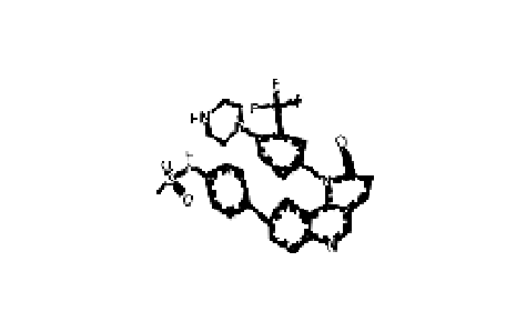 CS(=O)(=O)Nc1ccc(-c2ccc3ncc4ccc(=O)n(-c5ccc(N6CCNCC6)c(C(F)(F)F)c5)c4c3c2)cc1